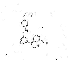 O=C(O)Cc1ccc(NCc2cncc(-c3ccnc4c(C(F)(F)F)cccc34)c2)cc1